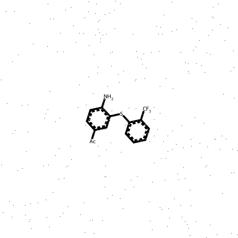 CC(=O)c1ccc(N)c(Sc2ccccc2C(F)(F)F)c1